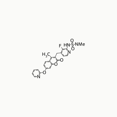 CNS(=O)(=O)Nc1nccc(Cc2c(C)c3ccc(Oc4ccccn4)cc3oc2=O)c1F